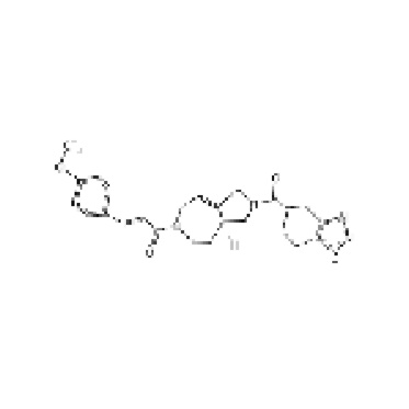 O=C(C=Cc1ccc(OC(F)(F)F)cc1)N1CC=C2CN(C(=O)C3CCc4[nH]nnc4C3)C[C@H]2CC1